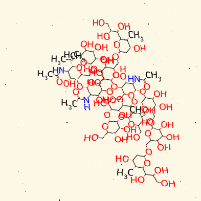 CC(=O)NC1[C@H](OC2[C@@H](OCC3O[C@@H](O[C@@H]4C(CO)O[C@@H](O[C@@H]5C(CO[C@@H]6OC(C)[C@@H](O)[C@H](O)C6O)O[C@@H](C(C)C)C(NC(C)=O)[C@H]5O)C(NC(C)=O)[C@H]4O)C(O)[C@@H](O[C@H]4OC(CO)[C@@H](O)[C@H](O)C4O[C@@H]4OC(CO)[C@@H](O[C@@H]5OC(CO[C@@H]6C[C@@H](O)[C@@H](C)C(C(O)C(O)CO)O6)[C@H](O)[C@H](O)C5O)[C@H](O)C4C)[C@@H]3O)OC(CO)[C@@H](O)[C@@H]2O)OC(CO)[C@@H](O[C@@H]2OC(CO[C@@H]3C[C@@H](O)[C@@H](C)C(C(O)C(O)CO)O3)[C@H](O)[C@H](O)C2O)[C@@H]1O